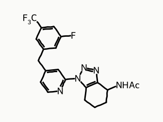 CC(=O)NC1CCCc2c1nnn2-c1cc(Cc2cc(F)cc(C(F)(F)F)c2)ccn1